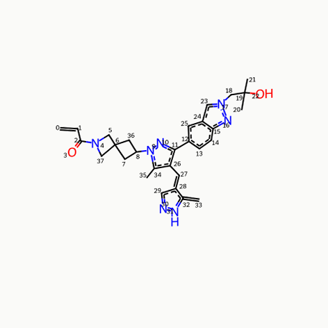 C=CC(=O)N1CC2(CC(n3nc(-c4ccc5nn(CC(C)(C)O)cc5c4)c(/C=c4\cn[nH]c4=C)c3C)C2)C1